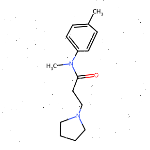 Cc1ccc(N(C)C(=O)CCN2CCCC2)cc1